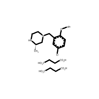 CCCOc1ccc(Cl)cc1CN1CCN[C@@H](C)C1.O=C(O)CCC(=O)O.O=C(O)CCC(=O)O